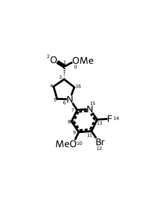 COC(=O)[C@H]1CCN(c2cc(OC)c(Br)c(F)n2)C1